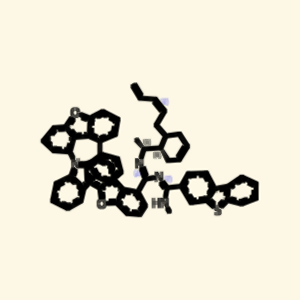 C=C/C=C\CC1CC=CC[C@H]1[C@H](C)/N=C(\N=C(/NC)c1ccc2c(c1)sc1ccccc12)c1cccc2oc3ccc(-c4cccc5oc6cccc(-n7c8ccccc8c8ccccc87)c6c45)cc3c12